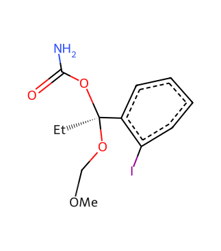 CC[C@](OCOC)(OC(N)=O)c1ccccc1I